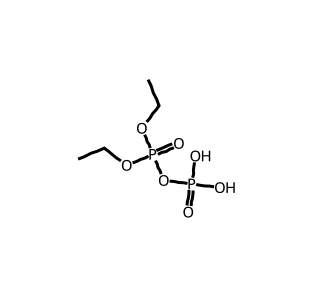 CCOP(=O)(OCC)OP(=O)(O)O